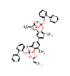 C=CC(=O)OC(CC)(Oc1ccccc1-c1ccccc1)Oc1c(C)cc(-c2cc(C)c(OC(CC)(OC(=O)C=C)Oc3ccccc3-c3ccccc3)c(C)c2)cc1C